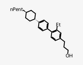 CCCCC[C@H]1CC[C@H](c2ccc(-c3ccc(CCCO)cc3CC)cc2)CC1